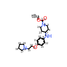 CC(C)(C)OC(=O)N1CCC(Nc2ccc(OCCN3CCCC3)cc2)CC1